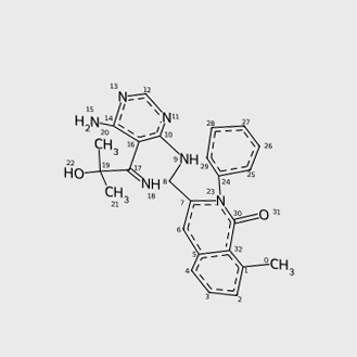 Cc1cccc2cc(CNc3ncnc(N)c3C(=N)C(C)(C)O)n(-c3ccccc3)c(=O)c12